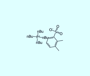 CCCC[P+](CCCC)(CCCC)CCCC.Cc1cccc(S(=O)(=O)[O-])c1C